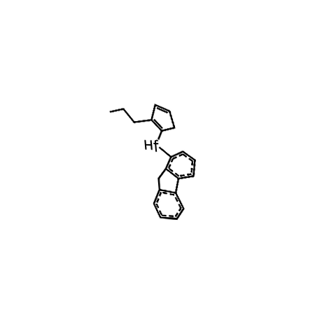 CCCC1=[C]([Hf][c]2cccc3c2Cc2ccccc2-3)CC=C1